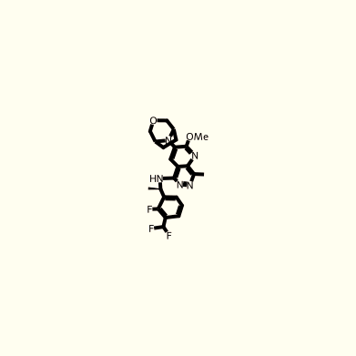 COc1nc2c(C)nnc(N[C@H](C)c3cccc(C(F)F)c3F)c2cc1N1C2CCC1COC2